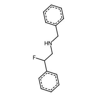 FC(CNCc1ccccc1)c1ccccc1